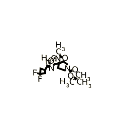 CC(=O)N(C)C1(c2nc(C3CC(F)(F)C3)no2)CCN(C(=O)OC(C)(C)C)CC1